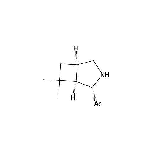 CC(=O)[C@H]1NC[C@@H]2CC(C)(C)[C@@H]21